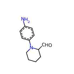 Nc1ccc(N2CCCCC2C=O)cc1